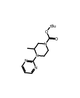 CC1CN(C(=O)OC(C)(C)C)CCN1c1ncccn1